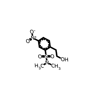 CN(C)S(=O)(=O)c1cc([N+](=O)[O-])ccc1CCO